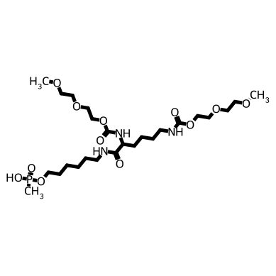 COCCOCCOC(=O)NCCCCC(NC(=O)OCCOCCOC)C(=O)NCCCCCCOP(C)(=O)O